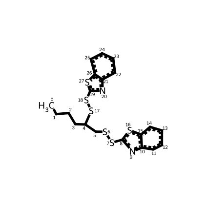 CCCCC(CSSc1nc2ccccc2s1)SSc1nc2ccccc2s1